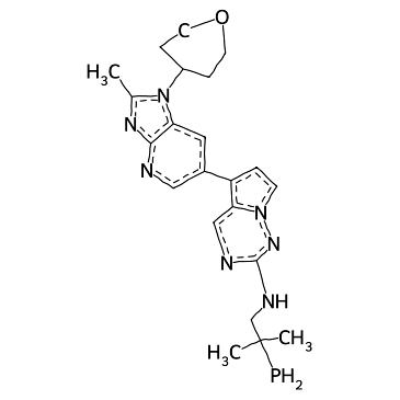 Cc1nc2ncc(-c3ccn4nc(NCC(C)(C)P)ncc34)cc2n1C1CCOCC1